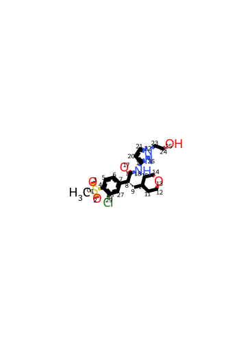 CS(=O)(=O)c1ccc([C@@H](CC2CCOCC2)C(=O)Nc2ccn(CCO)n2)cc1Cl